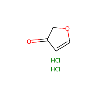 Cl.Cl.O=C1C=COC1